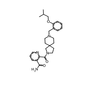 CC(C)COc1ccccc1CN1CCC2(CC1)CCN(C(=O)c1ncccc1C(N)=O)C2